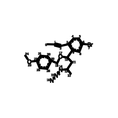 CC#Cc1ccc(Br)cc1C(CC(C)N=[N+]=[N-])OCc1ccc(OC)cc1